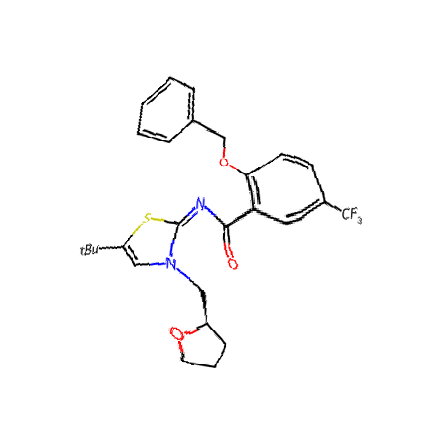 CC(C)(C)c1cn(C[C@H]2CCCO2)c(=NC(=O)c2cc(C(F)(F)F)ccc2OCc2ccccc2)s1